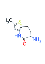 Cc1cc2c(s1)CCC(N)C(=O)N2